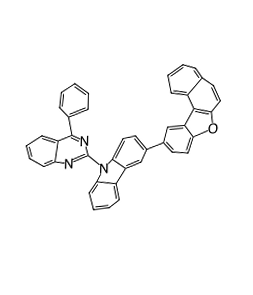 c1ccc(-c2nc(-n3c4ccccc4c4cc(-c5ccc6oc7ccc8ccccc8c7c6c5)ccc43)nc3ccccc23)cc1